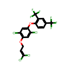 FC(F)(F)c1ccc(Oc2cc(Cl)c(OCC=C(Cl)Cl)cc2Cl)c(C(F)(F)F)c1